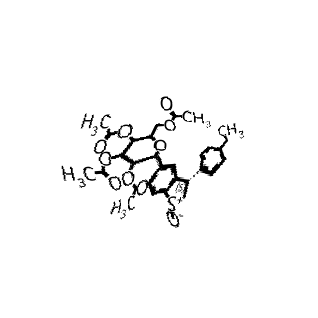 CCc1ccc([C@@H]2C[S+]([O-])c3ccc(C4OC(COC(C)=O)C(OC(C)=O)C(OC(C)=O)C4OC(C)=O)cc32)cc1